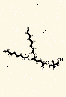 [CH2]C(C)(CO)COC(=O)CCC(OCCCCCCCC)OCCCCCCCC